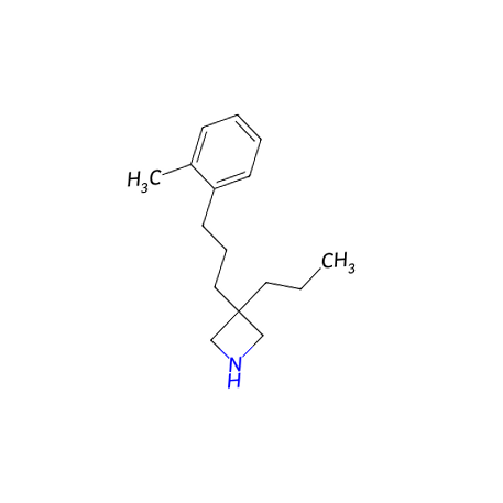 CCCC1(CCCc2ccccc2C)CNC1